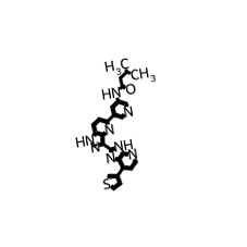 CC(C)CC(=O)Nc1cncc(-c2ccc3[nH]nc(-c4nc5c(-c6ccsc6)ccnc5[nH]4)c3n2)c1